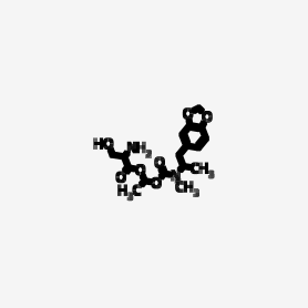 CC(OC(=O)C(N)CO)OC(=O)N(C)C(C)Cc1ccc2c(c1)OCO2